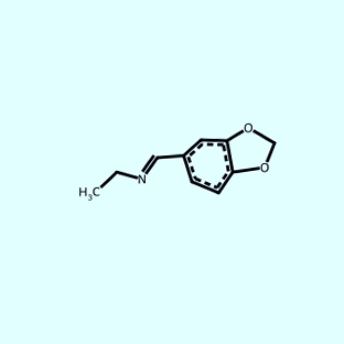 CC/N=C/c1ccc2c(c1)OCO2